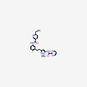 CC(C)Cc1ccc(C(=O)Nc2ccc(F)c(CCc3cc(NC(=O)c4ncccn4)n(C(C)(C)C)n3)c2)cn1